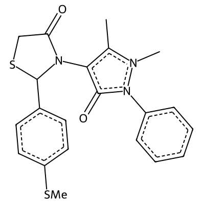 CSc1ccc(C2SCC(=O)N2c2c(C)n(C)n(-c3ccccc3)c2=O)cc1